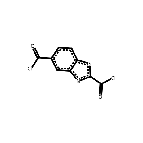 O=C(Cl)c1ccc2sc(C(=O)Cl)nc2c1